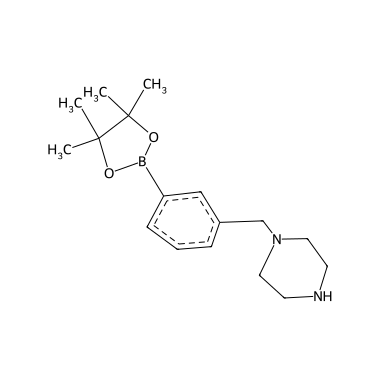 CC1(C)OB(c2cccc(CN3CCNCC3)c2)OC1(C)C